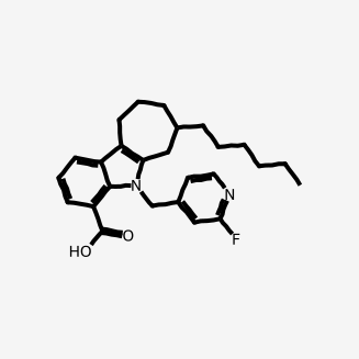 CCCCCCC1CCCc2c(n(Cc3ccnc(F)c3)c3c(C(=O)O)cccc23)C1